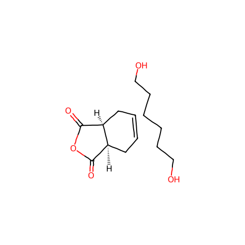 O=C1OC(=O)[C@@H]2CC=CC[C@H]12.OCCCCCCO